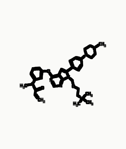 C=CC(=O)N(C)c1cccc(Oc2ncnc3c2cc(-c2ccc(N4CCN(C)CC4)cc2)n3COCC[Si](C)(C)C)c1